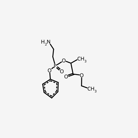 CCOC(=O)C(C)OP(=O)(CCN)Oc1ccccc1